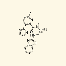 CC[C@@H](CNc1nc2ccccc2o1)N(C)C(=O)c1nc(C)ccc1-n1nccn1